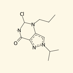 CCCN1c2cn(C(C)C)nc2C(=O)[N]C1Cl